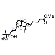 CCCCC(C)(C)[C@H](O)/C=C/[C@@H]1[C@H]2C(F)/C(=C/CCCC(=O)OC)O[C@H]2C[C@H]1C